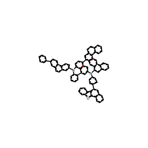 c1ccc(-c2ccc3c(ccc4cc(N(c5ccc(-c6ccc7c(ccc8ccccc87)c6)cc5)c5ccccc5-c5cccc(N(c6ccc(-c7cc8ccccc8c8oc9ccccc9c78)cc6)c6cc7ccccc7c7ccccc67)c5)ccc43)c2)cc1